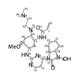 C=CC(=O)Nc1cc(Nc2nccc(-n3c(=O)n(O)c4ccccc43)n2)c(OC)cc1N(C)CCN(C)C